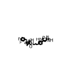 Cc1c(C(=O)NCC=Cc2ccc3c(c2)NC(=O)C3=Cc2cnc[nH]2)c(=O)n(Cc2ccc(F)c(F)c2)n1C